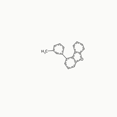 Cc1cccc(-c2cccc3oc4ccccc4c23)c1